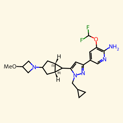 COC1CN(C2C[C@@H]3C(c4cc(-c5cnc(N)c(OC(F)F)c5)nn4CC4CC4)[C@@H]3C2)C1